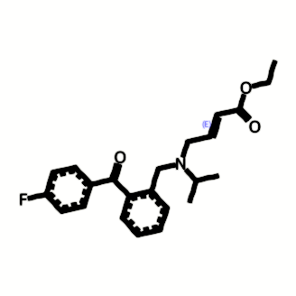 CCOC(=O)/C=C/CN(Cc1ccccc1C(=O)c1ccc(F)cc1)C(C)C